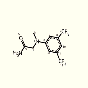 CN(CC(N)=O)c1cc(C(F)(F)F)cc(C(F)(F)F)c1